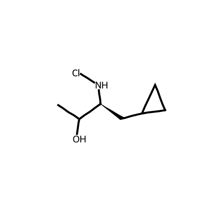 CC(O)[C@H](CC1CC1)NCl